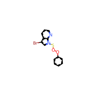 Brc1cn(SOOc2ccccc2)c2ncccc12